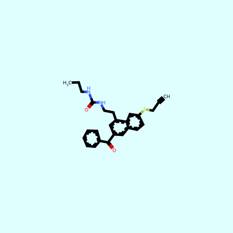 C#CCSc1ccc2cc(C(=O)c3ccccc3)cc(CCNC(=O)NCCC)c2c1